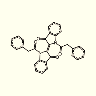 O=C1C(=C2C(=O)c3ccccc3N2C(=O)Cc2ccccc2)N(C(=O)Cc2ccccc2)c2ccccc21